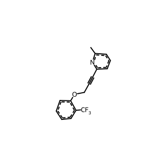 Cc1cccc(C#CCOc2ccccc2C(F)(F)F)n1